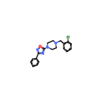 Clc1ccccc1CN1CCN(c2nc(-c3ccccc3)no2)CC1